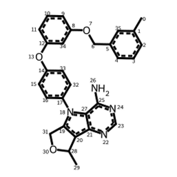 Cc1cccc(COc2cccc(Oc3ccc(-n4c5c(c6ncnc(N)c64)C(C)OC5)cc3)c2)c1